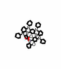 c1ccc(N2c3ccccc3B3c4cc5c(cc4N(c4ccccc4)c4cccc2c43)N(c2ccccc2)c2cccc3c2B5c2c(cc4c5c2Oc2ccccc2B5c2ccccc2O4)N3c2ccccc2)cc1